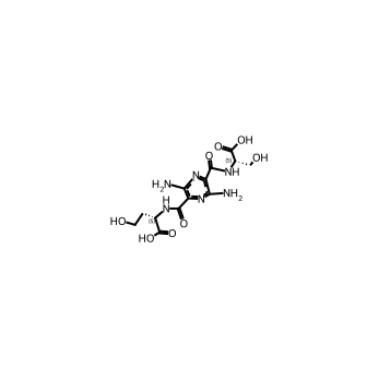 Nc1nc(C(=O)N[C@@H](CCO)C(=O)O)c(N)nc1C(=O)N[C@@H](CO)C(=O)O